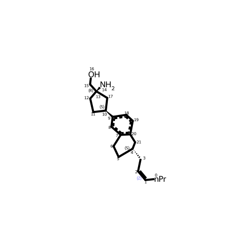 CCC/C=C\C[C@@H]1CCc2cc([C@H]3CC[C@](N)(CO)C3)ccc2C1